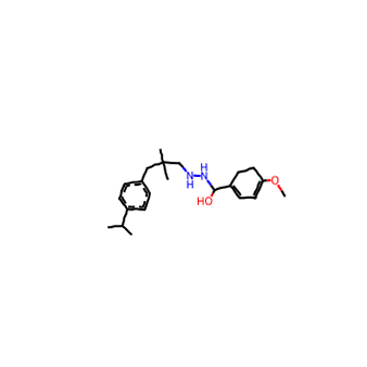 COC1=CC=C(C(O)NNCC(C)(C)Cc2ccc(C(C)C)cc2)CC1